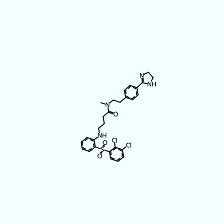 CN(CCc1ccc(C2=NCCN2)cc1)C(=O)CCCNc1ccccc1S(=O)(=O)c1cccc(Cl)c1Cl